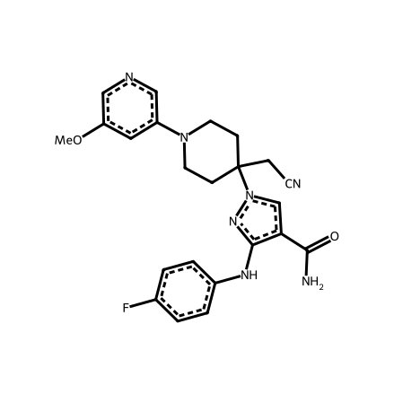 COc1cncc(N2CCC(CC#N)(n3cc(C(N)=O)c(Nc4ccc(F)cc4)n3)CC2)c1